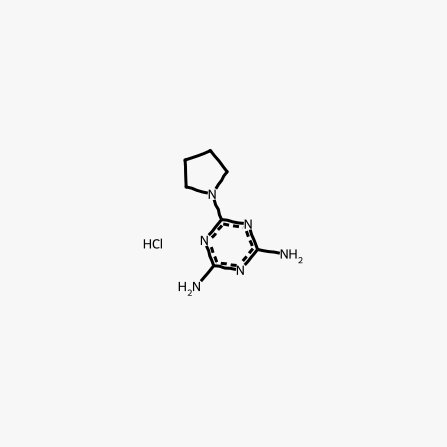 Cl.Nc1nc(N)nc(N2CCCC2)n1